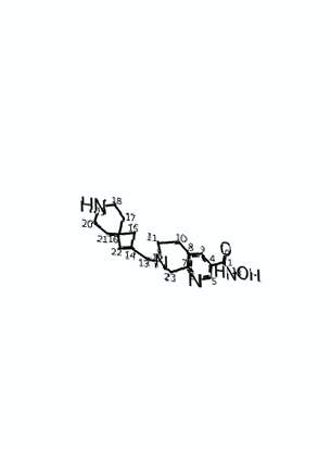 O=C(NO)c1cnc2c(c1)CCN(CC1CC3(CCNCC3)C1)C2